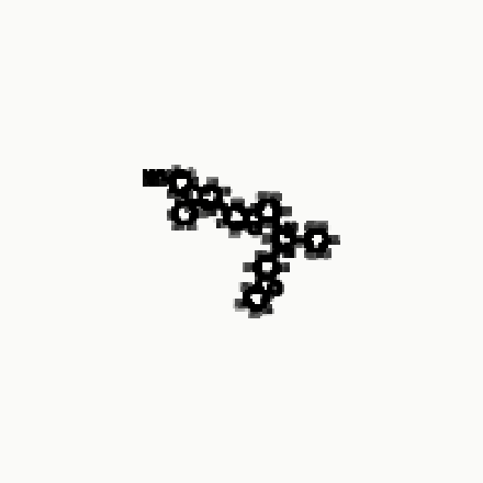 N#Cc1ccc2c(c1)C1(CCCCC1)c1cc(-c3ccc4oc5c(-c6cc(-c7ccc8c(c7)oc7ccccc78)nc(-c7ccccc7)n6)cccc5c4c3)ccc1-2